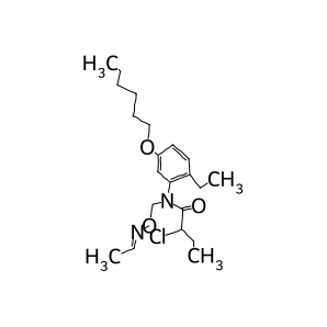 CC=NOCN(C(=O)C(Cl)CC)c1cc(OCCCCCC)ccc1CC